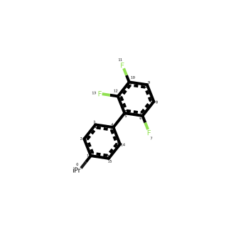 CC(C)c1ccc(-c2c(F)ccc(F)c2F)cc1